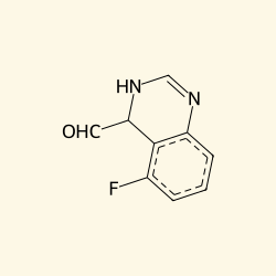 O=CC1NC=Nc2cccc(F)c21